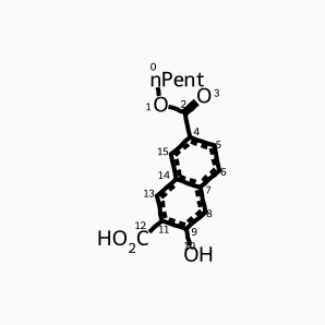 CCCCCOC(=O)c1ccc2cc(O)c(C(=O)O)cc2c1